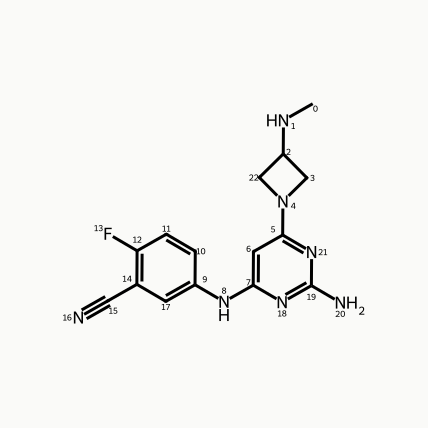 CNC1CN(c2cc(Nc3ccc(F)c(C#N)c3)nc(N)n2)C1